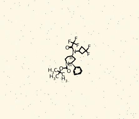 CC(C)(C)OC(=O)N1CC[C@@H](N(C(=O)C(F)(F)F)C2CC(F)(F)C2)C[C@H]1c1ccccc1